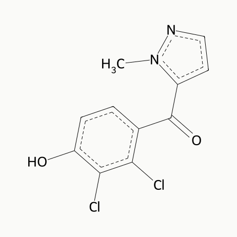 Cn1nccc1C(=O)c1ccc(O)c(Cl)c1Cl